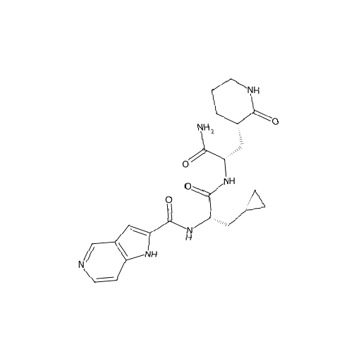 NC(=O)[C@H](C[C@@H]1CCCNC1=O)NC(=O)[C@H](CC1CC1)NC(=O)c1cc2cnccc2[nH]1